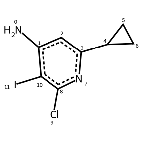 Nc1cc(C2CC2)nc(Cl)c1I